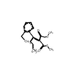 CCC(=C(C(=O)OC)C(=O)OC)c1ccccc1CC